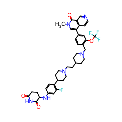 Cn1cc(-c2ccc(CN3CCC(CCN4CCC(c5ccc(NC6CCC(=O)NC6=O)cc5F)CC4)CC3)c(OC(F)(F)F)c2)c2ccncc2c1=O